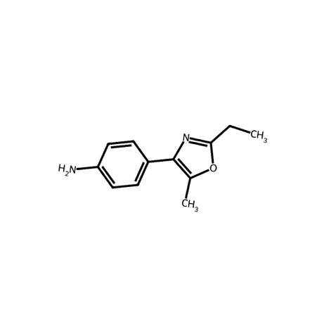 CCc1nc(-c2ccc(N)cc2)c(C)o1